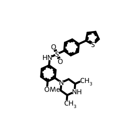 COc1ccc(NS(=O)(=O)c2ccc(-c3cccs3)cc2)cc1N1CC(C)NC(C)C1